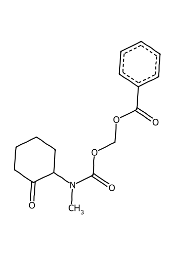 CN(C(=O)OCOC(=O)c1ccccc1)C1CCCCC1=O